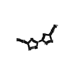 [N-]=[N+]=C1N=NC(C2=NC(=[N+]=[N-])N=N2)=N1